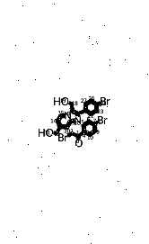 O=C(CBr)c1ccc(Br)cc1.OCc1ccn2c(CO)c(-c3ccc(Br)cc3)nc2c1